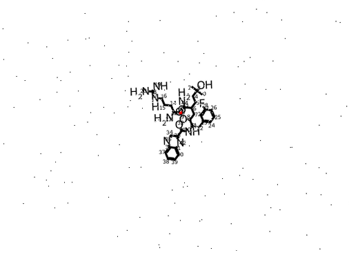 CC(C)(O)CCC(CC(OC(=O)C(N)CCCNC(=N)N)[C@H](Cc1cccc(F)c1)NC(=O)c1cnc2ccccc2n1)C(N)=O